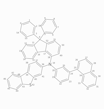 c1ccc(C2(c3ccccc3)c3ccccc3-c3c(N(c4cccc(-c5cccc6ccccc56)c4)c4ccc5c(c4)sc4ccccc45)cccc32)cc1